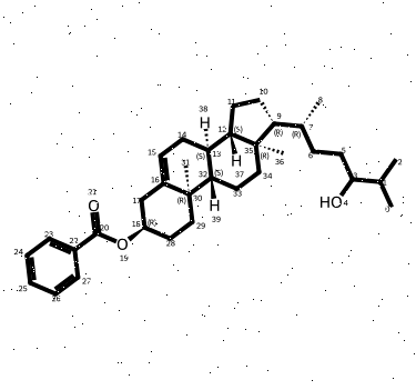 CC(C)C(O)CC[C@@H](C)[C@H]1CC[C@H]2[C@@H]3CC=C4C[C@H](OC(=O)c5ccccc5)CC[C@]4(C)[C@H]3CC[C@]12C